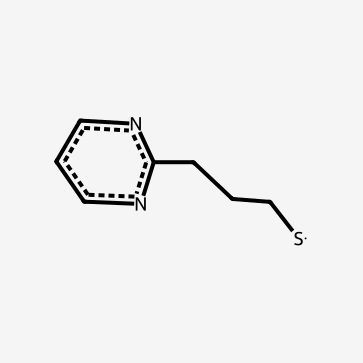 [S]CCCc1ncccn1